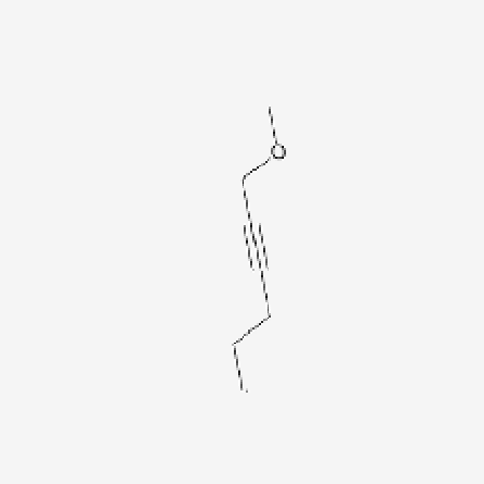 [CH2]CCC#CCOC